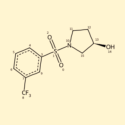 O=S(=O)(c1cccc(C(F)(F)F)c1)N1CC[C@@H](O)C1